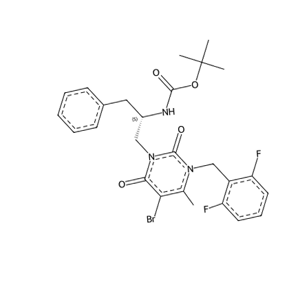 Cc1c(Br)c(=O)n(C[C@H](Cc2ccccc2)NC(=O)OC(C)(C)C)c(=O)n1Cc1c(F)cccc1F